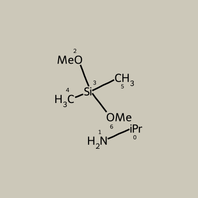 CC(C)N.CO[Si](C)(C)OC